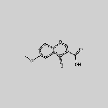 COc1ccc2occ(C(=O)O)c(=S)c2c1